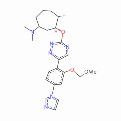 COCOc1cc(-n2ccnc2)ccc1-c1cnc(O[C@H]2CC(N(C)C)CCCC2F)nn1